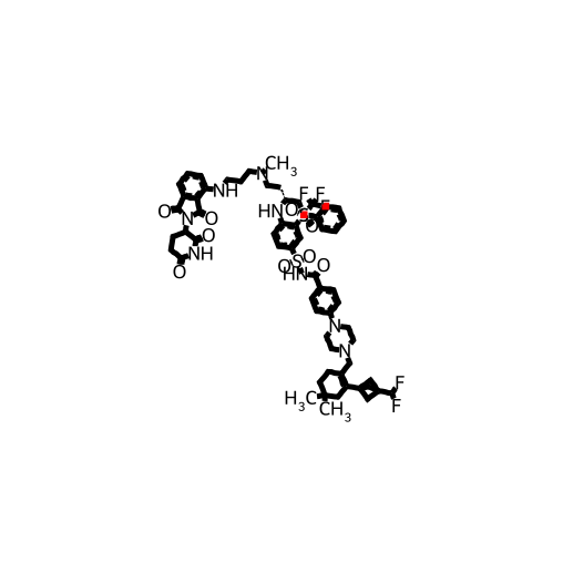 CN(CCCNc1cccc2c1C(=O)N(C1CCC(=O)NC1=O)C2=O)CC[C@H](CSc1ccccc1)Nc1ccc(S(=O)(=O)NC(=O)c2ccc(N3CCN(CC4=C(C56CC(C(F)F)(C5)C6)CC(C)(C)CC4)CC3)cc2)cc1S(=O)(=O)C(F)(F)F